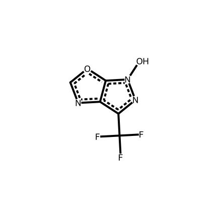 On1nc(C(F)(F)F)c2ncoc21